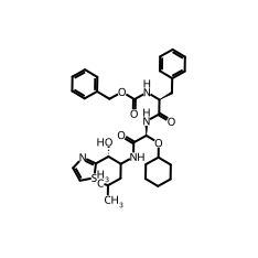 CC(C)CC(NC(=O)[C@@H](NC(=O)[C@H](Cc1ccccc1)NC(=O)OCc1ccccc1)OC1CCCCC1)[C@@H](O)c1nccs1